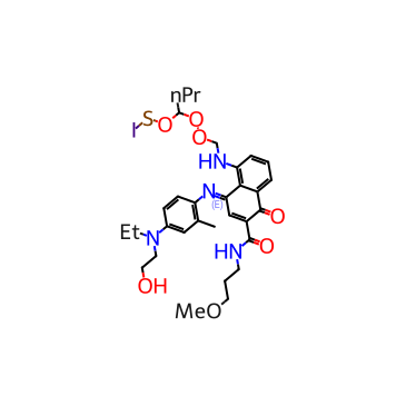 CCCC(OOCNc1cccc2c1/C(=N/c1ccc(N(CC)CCO)cc1C)C=C(C(=O)NCCCOC)C2=O)OSI